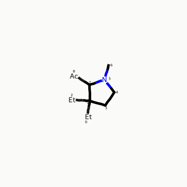 CCC1(CC)CCN(C)C1C(C)=O